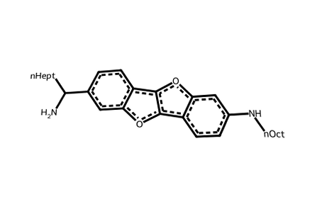 CCCCCCCCNc1ccc2c(c1)oc1c3ccc(C(N)CCCCCCC)cc3oc21